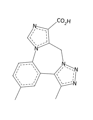 Cc1ccc2c(c1)-c1c(C)nnn1Cc1c(C(=O)O)ncn1-2